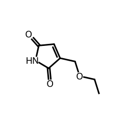 CCOCC1=CC(=O)NC1=O